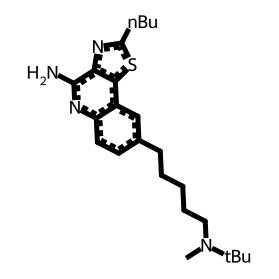 CCCCc1nc2c(N)nc3ccc(CCCCCN(C)C(C)(C)C)cc3c2s1